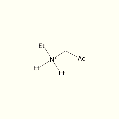 CC[N+](CC)(CC)CC(C)=O